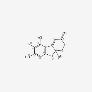 CCCC12CCC(=O)C=C1c1c(cc(O)c(Cl)c1Cl)O2